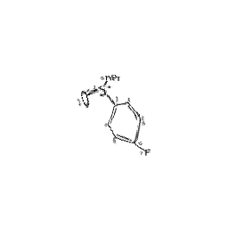 [CH2]CC[S+]([O-])c1ccc(F)cc1